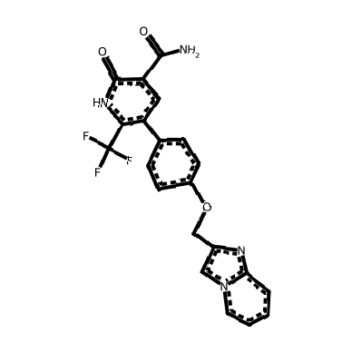 NC(=O)c1cc(-c2ccc(OCc3cn4ccccc4n3)cc2)c(C(F)(F)F)[nH]c1=O